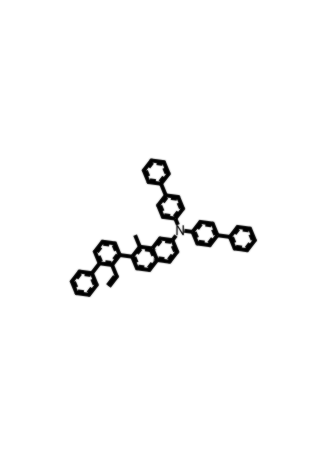 C=Cc1c(-c2ccccc2)cccc1-c1ccc2ccc(N(c3ccc(-c4ccccc4)cc3)c3ccc(-c4ccccc4)cc3)cc2c1C